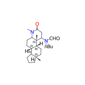 CCCCN(C=O)C1CC(=O)N(C)C2CC[C@@H]3[C@@H](CC[C@]4(C)CCC[C@@H]34)[C@@]12C